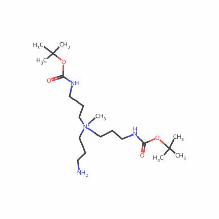 CC(C)(C)OC(=O)NCCC[N+](C)(CCCN)CCCNC(=O)OC(C)(C)C